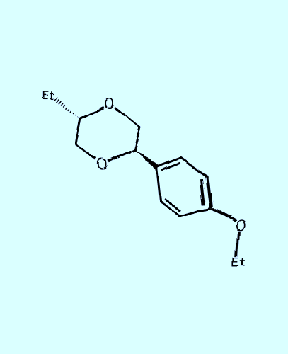 CCOc1ccc([C@@H]2CO[C@@H](CC)CO2)cc1